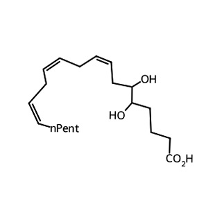 CCCCC/C=C\C/C=C\C/C=C\CC(O)C(O)CCCC(=O)O